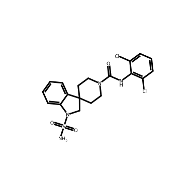 NS(=O)(=O)N1CC2(CCN(C(=O)Nc3c(Cl)cccc3Cl)CC2)c2ccccc21